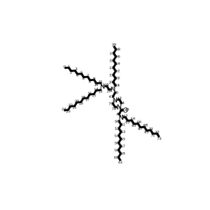 CCCCCCCCCCCCN(CCCCCCCCCCCC)CCN(CCCCCCCCCCCC)CCN1CCN(C(=O)CN(CCCCCCCCCCCC)CCCCCCCCCCCC)CC1